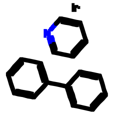 [Ir].c1ccc(-c2ccccc2)cc1.c1ccncc1